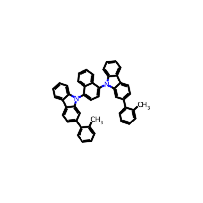 Cc1ccccc1-c1ccc2c3ccccc3n(-c3ccc(-n4c5ccccc5c5ccc(-c6ccccc6C)cc54)c4ccccc34)c2c1